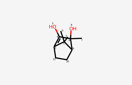 CC1(C)C2=C(O)C(C)(O)C1CC2